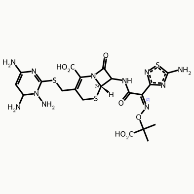 CC(C)(O/N=C(\C(=O)NC1C(=O)N2C(C(=O)O)=C(CSC3=NC(N)=CC(N)N3N)CS[C@@H]12)c1nsc(N)n1)C(=O)O